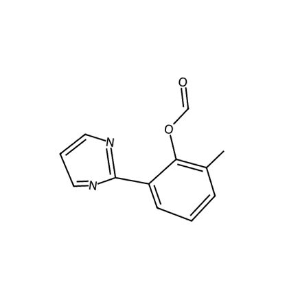 Cc1cccc(-c2ncccn2)c1OC=O